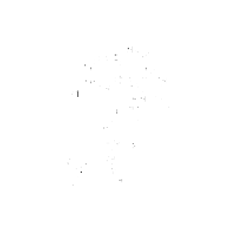 Cc1nc2cnc3ccc(Cl)nc3c2n1C1CCN(C(=O)OC(C)(C)C)CC1